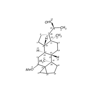 COC1C[C@H]2[C@@H]3CC[C@H]([C@H](C)C=O)[C@@]3(C)CC[C@@H]2[C@@]2(C)CCC3CC312